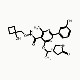 CC(Oc1nc(-c2cccc(C#N)c2)nc(N)c1C(=O)NOCC1(O)CCC1)[C@H]1CNC(=O)C1